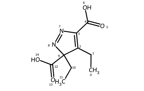 CCC1=C(C(=O)O)N=NC1(CC)C(=O)O